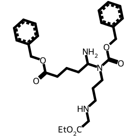 CCOC(=O)CNCCCN(C(=O)OCc1ccccc1)C(N)CCCC(=O)OCc1ccccc1